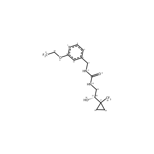 O=C(NCc1ccnc(OCC(F)(F)F)c1)NC[C@@H](O)C1(C(F)(F)F)CC1